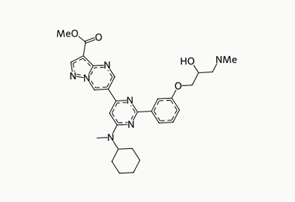 CNCC(O)COc1cccc(-c2nc(-c3cnc4c(C(=O)OC)cnn4c3)cc(N(C)C3CCCCC3)n2)c1